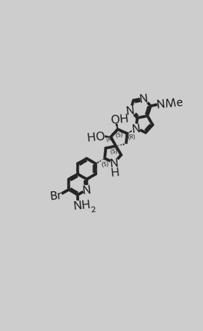 CNc1ncnc2c1ccn2[C@@H]1C[C@@]2(CN[C@H](c3ccc4cc(Br)c(N)nc4c3)C2)[C@@H](O)[C@H]1O